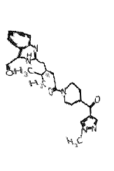 CC(C)[C@H](CC(=O)N1CCC(C(=O)c2cnn(C)c2)CC1)CC1=Nc2ccccc2C(C=O)N1